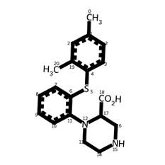 Cc1ccc(Sc2ccccc2N2CCNCC2C(=O)O)c(C)c1